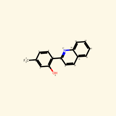 Oc1cc(C(F)(F)F)ccc1-c1ccc2cc[c]cc2n1